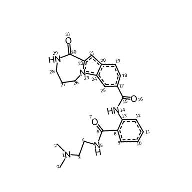 CN(C)CCNC(=O)c1ccccc1NC(=O)c1ccc2cc3n(c2c1)CCCNC3=O